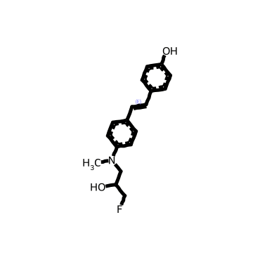 CN(CC(O)CF)c1ccc(/C=C/c2ccc(O)cc2)cc1